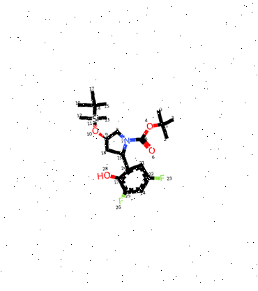 CC(C)(C)OC(=O)N1C[C@H](O[Si](C)(C)C(C)(C)C)CC1c1cc(F)cc(F)c1O